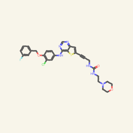 O=C(NCC#Cc1cc2ncnc(Nc3ccc(OCc4cccc(F)c4)c(Cl)c3)c2s1)NCCN1CCOCC1